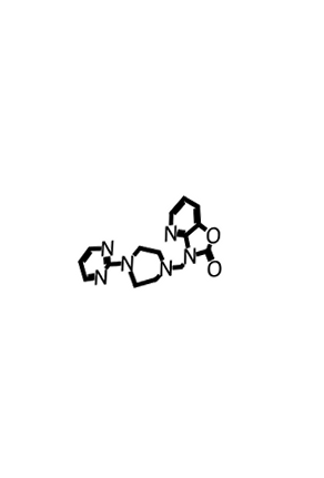 O=c1oc2cccnc2n1CN1CCN(c2ncccn2)CC1